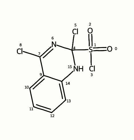 O=S(=O)(Cl)C1(Cl)N=C(Cl)c2ccccc2N1